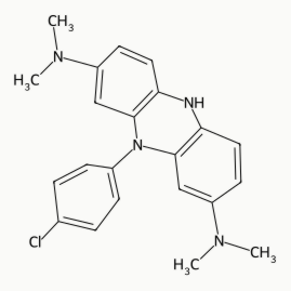 CN(C)c1ccc2c(c1)N(c1ccc(Cl)cc1)c1cc(N(C)C)ccc1N2